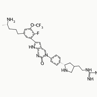 C[C@H](N)CCCc1cc(OC(F)(F)F)c(F)c(-c2cc3cn(-c4ccc([C@@H]5CC(CCNC(=N)N)CN5)cc4)c(=O)nc3[nH]2)c1